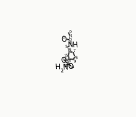 C=CC(=O)NCc1cccc(S(N)(=O)=O)c1